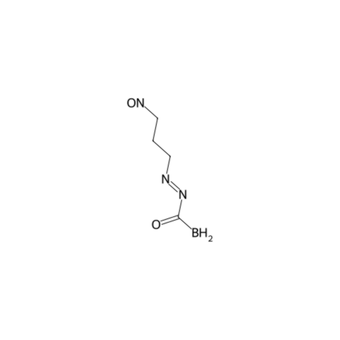 BC(=O)N=NCCCN=O